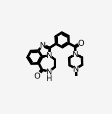 CN1CCN(C(=O)c2cccc(-c3nc4cccc5c4n3CCNC5=O)c2)CC1